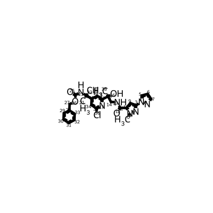 Cn1nc(-n2cccn2)cc1C(=O)NCC(O)(c1cc(C(C)(C)NC(=O)OCc2ccccc2)cc(Cl)n1)C(F)(F)F